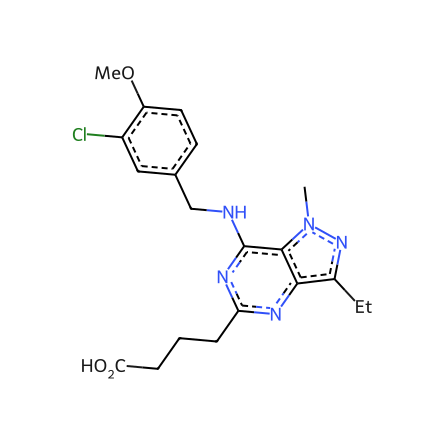 CCc1nn(C)c2c(NCc3ccc(OC)c(Cl)c3)nc(CCCC(=O)O)nc12